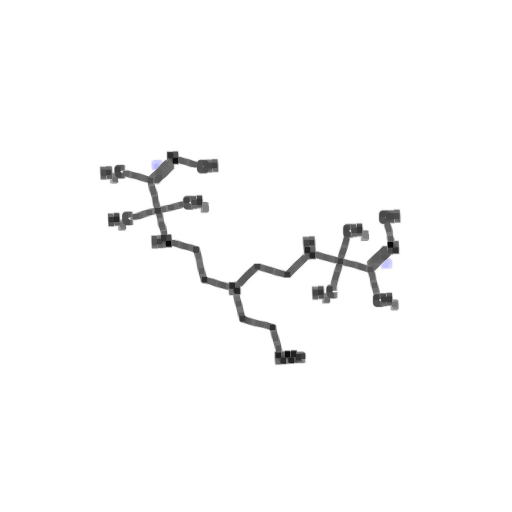 CNCCN(CCNC(C)(C)/C(C)=N\O)CCNC(C)(C)/C(C)=N\O